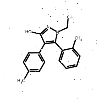 CCn1nc(O)c(-c2ccc(C)cc2)c1-c1ccccc1C